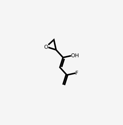 C=C(F)C=C(O)C1CO1